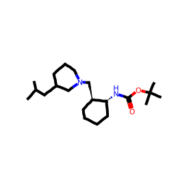 CC(C)CC1CCCN(C[C@@H]2CCCC[C@H]2NC(=O)OC(C)(C)C)C1